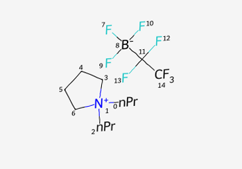 CCC[N+]1(CCC)CCCC1.F[B-](F)(F)C(F)(F)C(F)(F)F